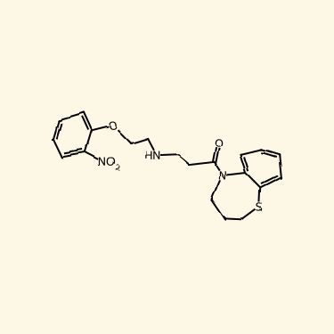 O=C(CCNCCOc1ccccc1[N+](=O)[O-])N1CCCSc2ccccc21